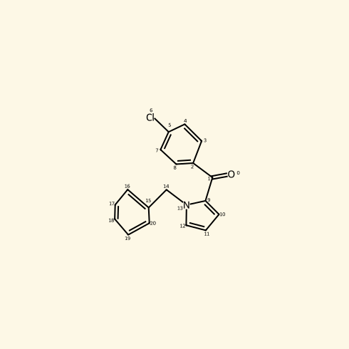 O=C(c1ccc(Cl)cc1)c1cccn1Cc1ccccc1